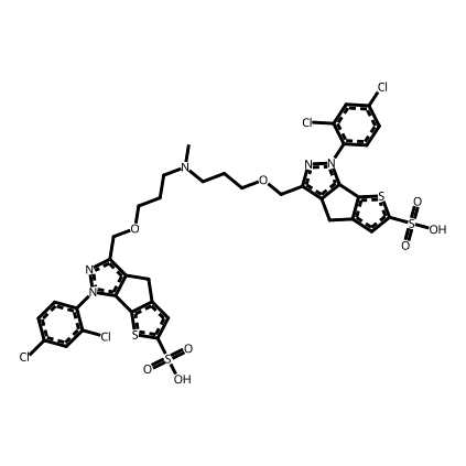 CN(CCCOCc1nn(-c2ccc(Cl)cc2Cl)c2c1Cc1cc(S(=O)(=O)O)sc1-2)CCCOCc1nn(-c2ccc(Cl)cc2Cl)c2c1Cc1cc(S(=O)(=O)O)sc1-2